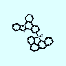 O=P(c1ccc2c3c(n4c5ccccc5nc4c2c1)CCC=C3)(c1cccc2ccccc12)c1cccc2ccccc12